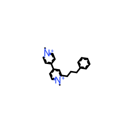 C[n+]1ccc(-c2cc[n+](C)c(CCCc3ccccc3)c2)cc1